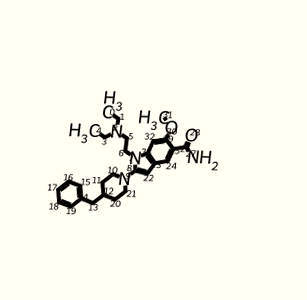 CCN(CC)CCn1c(N2CCC(Cc3ccccc3)CC2)cc2cc(C(N)=O)c(OC)cc21